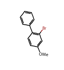 COc1ccc(-c2ccccc2)c(Br)c1